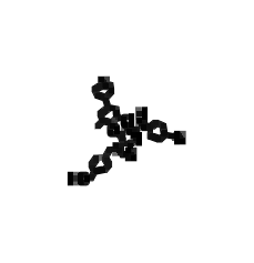 Cc1cc(-c2ccncc2)cc(Cl)c1Oc1nc(Nc2ccc(C#N)cc2)nc2ncn(Cc3ccc(CO)cc3)c12